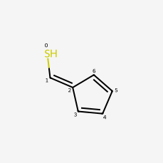 SC=C1C=CC=C1